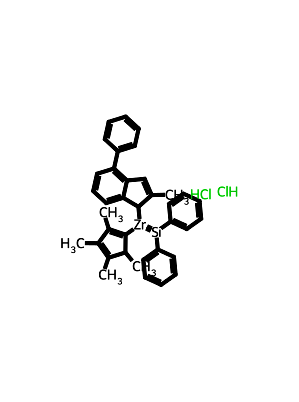 CC1=Cc2c(-c3ccccc3)cccc2[CH]1[Zr]([C]1=C(C)C(C)=C(C)C1C)=[Si](c1ccccc1)c1ccccc1.Cl.Cl